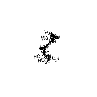 O=C(O)CC[C@H](NC(=S)N[C@@H](CCC(=O)NCCNC(=O)[C@H](Cc1ccccc1)NC(=O)CCCNC(=S)Nc1ccc(-c2c3ccc(=O)cc-3oc3cc(O)ccc23)c(C(=O)O)c1)C(=O)O)C(=O)O